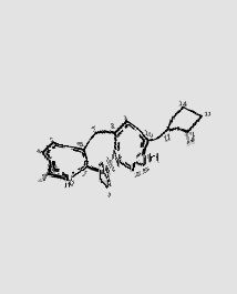 Brc1ncccc1Cc1cc(C2CCC2)[nH]n1